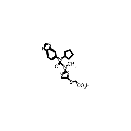 CN(C(=O)N(c1ccc2ncsc2c1)C1CCCC1)c1ncc(SCC(=O)O)s1